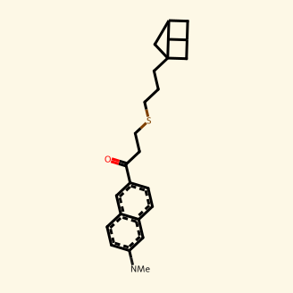 CNc1ccc2cc(C(=O)CCSCCCC34CC5CC(C3)C54)ccc2c1